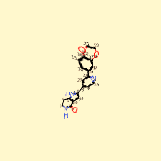 O=C1NCCc2[nH]c(-c3ccnc(-c4ccc5c(c4)OCCO5)c3)cc21